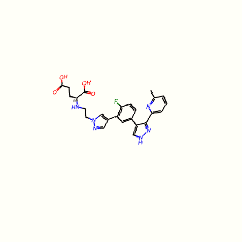 Cc1cccc(-c2n[nH]cc2-c2ccc(F)c(-c3cnn(CCN[C@@H](CCC(=O)O)C(=O)O)c3)c2)n1